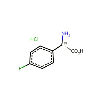 Cl.N[C@H](C(=O)O)c1ccc(F)cc1